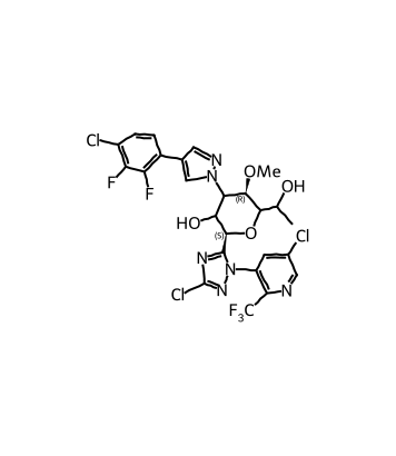 CO[C@H]1C(C(C)O)O[C@@H](c2nc(Cl)nn2-c2cc(Cl)cnc2C(F)(F)F)C(O)C1n1cc(-c2ccc(Cl)c(F)c2F)cn1